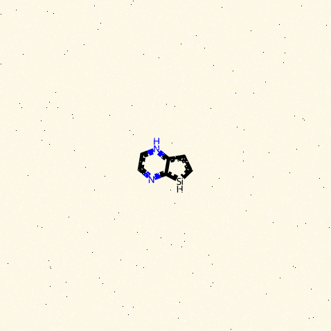 c1c[nH]c2cc[siH]c-2n1